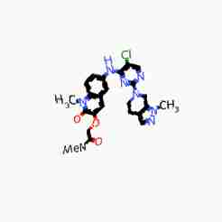 CNC(=O)COc1cc2cc(Nc3nc(N4CCc5cnn(C)c5C4)ncc3Cl)ccc2n(C)c1=O